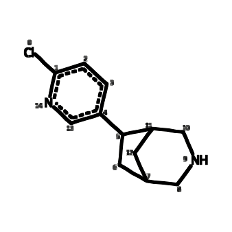 Clc1ccc(C2CC3CNCC2C3)cn1